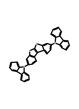 c1ccc2c(c1)c1ccccc1n2-c1ccc2c(c1)sc1sc3cc(-n4c5ccccc5c5ccccc54)ccc3c12